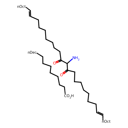 CCCCCCCCC=CCCCCCCCC(=O)C(N)C(=O)CCCCCCCC=CCCCCCCCC.CCCCCCCCCCCCCCCCCC(=O)O